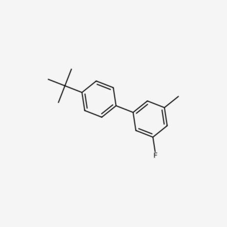 Cc1cc(F)cc(-c2ccc(C(C)(C)C)cc2)c1